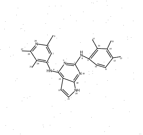 Cc1cc(Nc2nc(Nc3ccc(C)c(C)c3C)nc3[nH]ccc23)c(C)c(C)n1